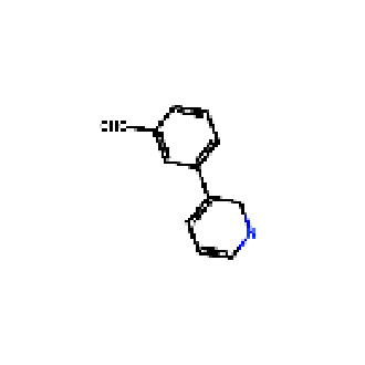 O=Cc1cccc(C2=CC=CNC2)c1